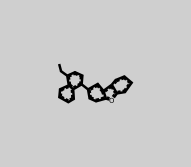 CCc1ccc(-c2ccc3oc4ccccc4c3c2)c2ccccc12